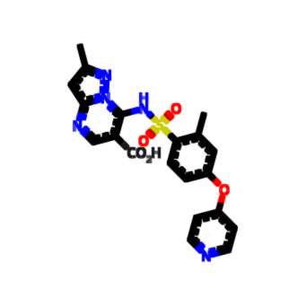 Cc1cc2ncc(C(=O)O)c(NS(=O)(=O)c3ccc(Oc4ccncc4)cc3C)n2n1